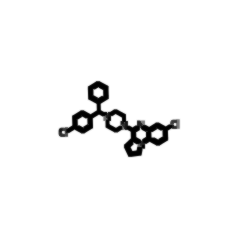 Clc1ccc(C(c2ccccc2)N2CCN(c3nc4cc(Cl)ccc4n4cccc34)CC2)cc1